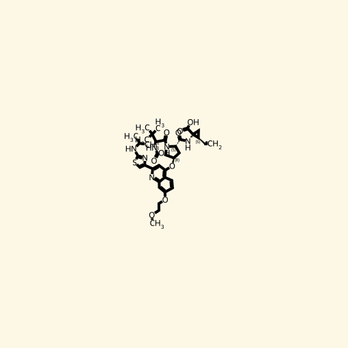 C=C[C@@H]1C[C@]1(NC(=O)[C@@H]1C[C@@H](Oc2cc(-c3csc(NC(C)C)n3)nc3cc(OCCOC)ccc23)CN1C(=O)[C@@H](NC(=O)O)C(C)(C)C)C(=O)O